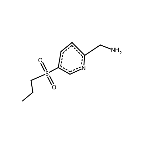 CCCS(=O)(=O)c1ccc(CN)nc1